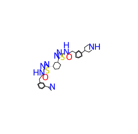 O=C(Cc1cccc(C2=NC2)c1)Nc1nnc([C@H]2CCC[C@H](c3nnc(NC(=O)Cc4cccc(C5CCNCC5)c4)s3)C2)s1